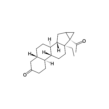 CC[C@]12CC[C@H]3[C@@H](CC[C@H]4CC(=O)CC[C@@H]43)[C@@H]1CC1C[C@]12C(C)=O